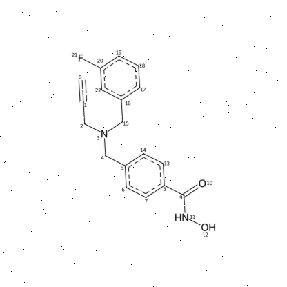 C#CCN(Cc1ccc(C(=O)NO)cc1)Cc1cccc(F)c1